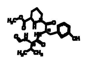 COC(=O)C1CCCN(C(=O)[C@H](Cc2cccc(O)c2)NC(=O)[C@@H](NC=O)C(C)C)N1